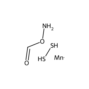 NOC=O.SS.[Mn]